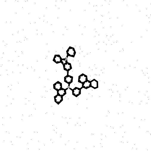 c1ccc(-n2c3ccccc3c3cc(-c4ccc(N(c5cccc(-c6cc7c(c8ccccc68)CCCC7)c5)c5cc6ccccc6c6ccccc56)cc4)ccc32)cc1